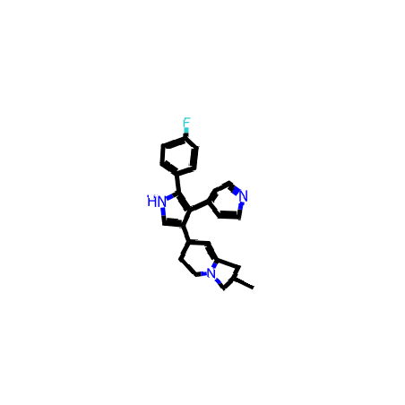 CC1CC2=CC(c3c[nH]c(-c4ccc(F)cc4)c3-c3ccncc3)CCN2C1